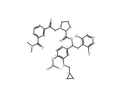 CN(C)C(=O)c1cccc(C(=O)CN2CCCC2C(=O)OC(Cc2c(Cl)cncc2Cl)c2ccc(OC(F)F)c(OCC3CC3)c2)c1